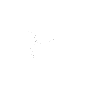 CC/C=C\C(=C/CC)[C@@H](N)CC=O